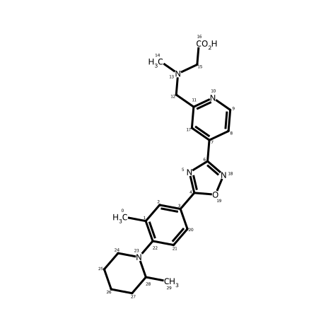 Cc1cc(-c2nc(-c3ccnc(CN(C)CC(=O)O)c3)no2)ccc1N1CCCCC1C